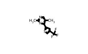 Cc1ncc(C)c(-c2cc(C(F)(F)F)cs2)n1